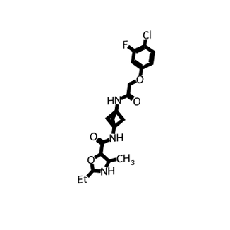 CCC1NC(C)C(C(=O)NC23CC(NC(=O)COc4ccc(Cl)c(F)c4)(C2)C3)O1